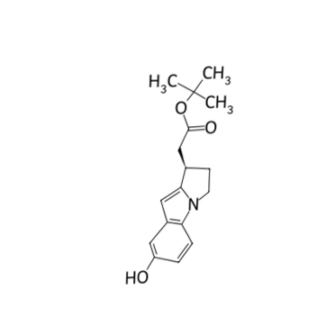 CC(C)(C)OC(=O)C[C@H]1CCn2c1cc1cc(O)ccc12